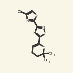 CC1(C)CCC=C(c2nc(-c3nc(Cl)cs3)no2)O1